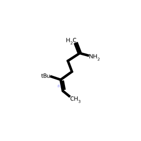 C=C(N)CC/C(=C\C)C(C)(C)C